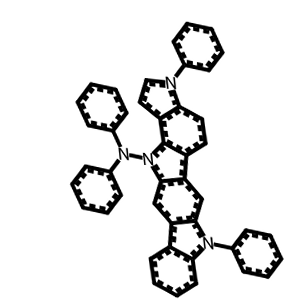 c1ccc(N(c2ccccc2)n2c3cc4c5ccccc5n(-c5ccccc5)c4cc3c3ccc4c(ccn4-c4ccccc4)c32)cc1